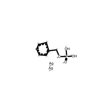 O=P(O)(O)OCc1ccccc1.[Ag].[Ag]